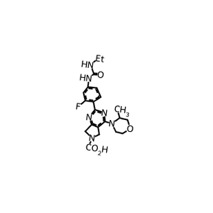 CCNC(=O)Nc1ccc(-c2nc3c(c(N4CCOCC4C)n2)CN(C(=O)O)C3)c(F)c1